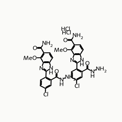 COc1c(C(N)=O)ccc2[nH]c(-c3ccc(Cl)cc3C(=O)NN)nc12.COc1c(C(N)=O)ccc2[nH]c(-c3ccc(Cl)cc3C(=O)NN)nc12.Cl.Cl